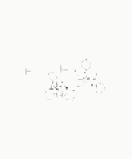 Cc1cccc(-n2c3ccccc3n3c4cccc(-c5ccc6c(c5)n5c7ccccc7nc5n6-c5ccccc5C)c4nc23)c1